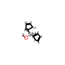 CO[SiH](C1=CC=CC1)C1=CC=CC1